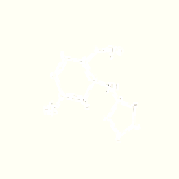 Cc1ccc(CC=O)c(NC2CCCC2)n1